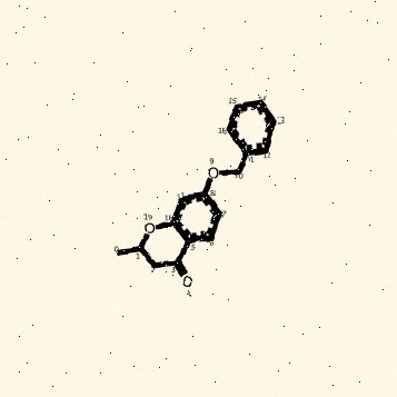 CC1CC(=O)c2ccc(OCc3ccccc3)cc2O1